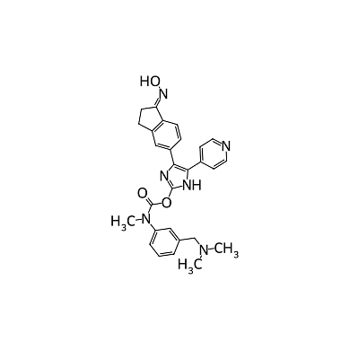 CN(C)Cc1cccc(N(C)C(=O)Oc2nc(-c3ccc4c(c3)CCC4=NO)c(-c3ccncc3)[nH]2)c1